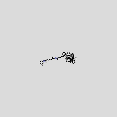 C=C(C/C=C(\C)CCCCC(CC(C)C(O)(O)C(=O)C(=C)N1CCCCC1C(C)=O)OC)CCCC/C(C)=C/C1CCCC(C)C1